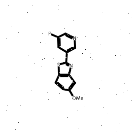 COc1ccc2sc(-c3cncc(F)c3)nc2c1